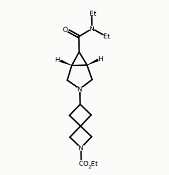 CCOC(=O)N1CC2(CC(N3C[C@@H]4C(C(=O)N(CC)CC)[C@@H]4C3)C2)C1